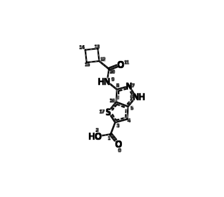 O=C(O)c1cc2[nH]nc(NC(=O)C3CCC3)c2s1